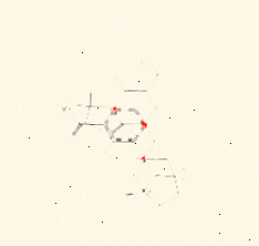 CCC(CC)CN(CCN1[C@@H]2CC[C@H]1C[C@@H](c1cccc(C(N)=O)c1O)C2)C(=O)OC(C)(C)C